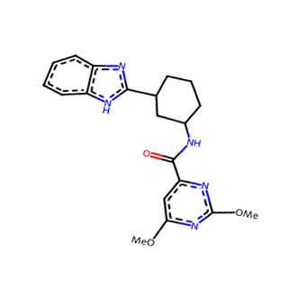 COc1cc(C(=O)NC2CCCC(c3nc4ccccc4[nH]3)C2)nc(OC)n1